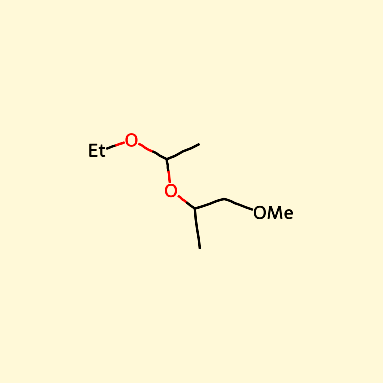 CCOC(C)OC(C)COC